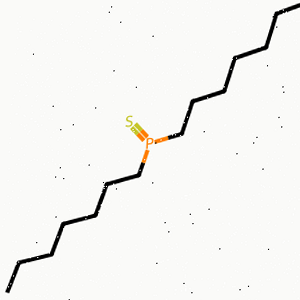 CCCCCCC[P](=S)CCCCCCC